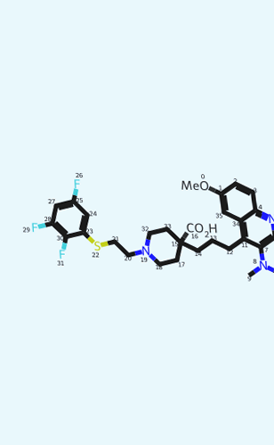 COc1ccc2ncc(N(C)C)c(CCCC3(C(=O)O)CCN(CCSc4cc(F)cc(F)c4F)CC3)c2c1